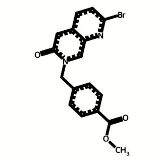 COC(=O)c1ccc(Cn2cc3nc(Br)ccc3cc2=O)cc1